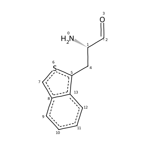 N[C@H]([C]=O)Cc1scc2ccccc12